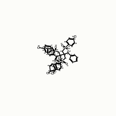 O=C(c1ccccc1)C(CS(=O)(=O)c1ccc(Cl)cc1)(CS(=O)(=O)c1ccc(Cl)cc1)C(CS(=O)(=O)c1ccc(Cl)cc1)(CS(=O)(=O)c1ccc(Cl)cc1)C(=O)c1ccc(Cl)cc1